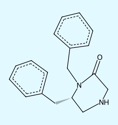 O=C1CNC[C@H](Cc2ccccc2)N1Cc1ccccc1